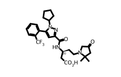 CC1(C)CC(=O)CN1CC[C@@H](CC(=O)O)NC(=O)c1cc(-c2ccccc2C(F)(F)F)n(C2CCCC2)n1